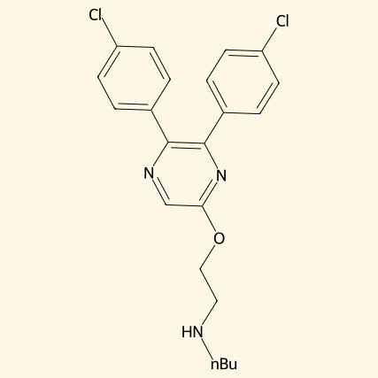 CCCCNCCOc1cnc(-c2ccc(Cl)cc2)c(-c2ccc(Cl)cc2)n1